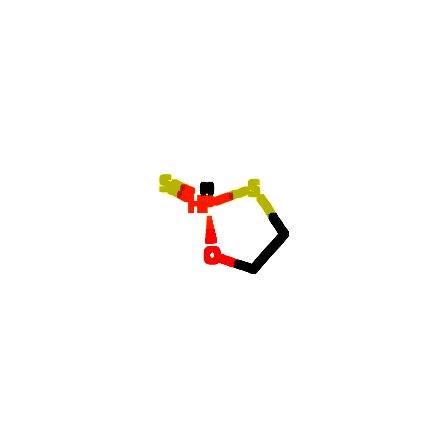 S=[P@H]1OCCS1